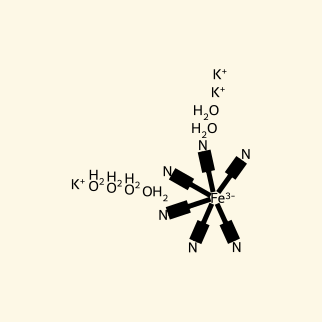 N#[C][Fe-3]([C]#N)([C]#N)([C]#N)([C]#N)[C]#N.O.O.O.O.O.O.[K+].[K+].[K+]